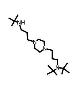 CC(C)(C)NCCCN1CCN(CCCN(C(C)(C)C)C(C)(C)C)CC1